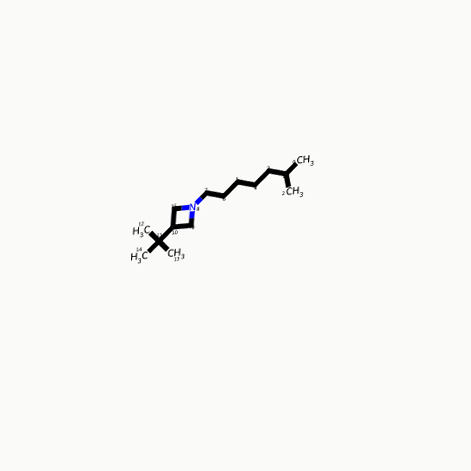 CC(C)CCCCCN1CC(C(C)(C)C)C1